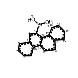 OB(O)c1cc2ccccc2c2ccc3ccccc3c12